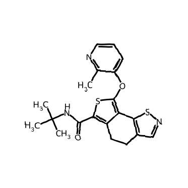 Cc1ncccc1Oc1sc(C(=O)NC(C)(C)C)c2c1-c1sncc1CC2